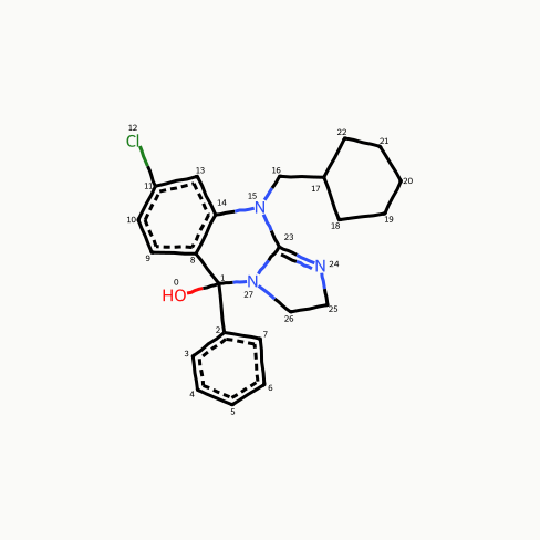 OC1(c2ccccc2)c2ccc(Cl)cc2N(CC2CCCCC2)C2=NCCN21